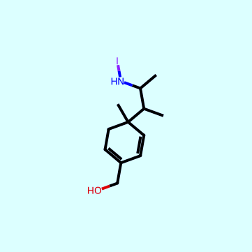 CC(NI)C(C)C1(C)C=CC(CO)=CC1